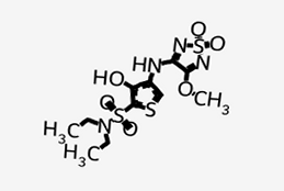 CCN(CC)S(=O)(=O)c1scc(NC2=NS(=O)(=O)N=C2OC)c1O